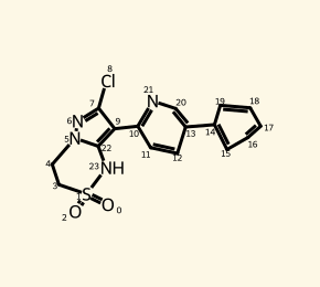 O=S1(=O)CCn2nc(Cl)c(-c3ccc(-c4ccccc4)cn3)c2N1